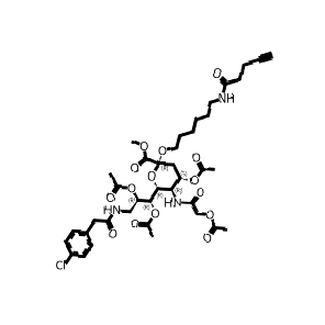 C#CCCC(=O)NCCCCCCO[C@]1(C(=O)OC)C[C@H](OC(C)=O)[C@@H](NC(=O)COC(C)=O)[C@H]([C@H](OC(C)=O)[C@@H](CNC(=O)Cc2ccc(Cl)cc2)OC(C)=O)O1